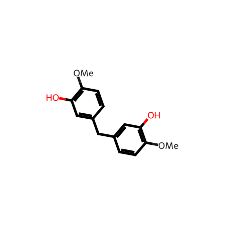 COc1ccc(Cc2ccc(OC)c(O)c2)cc1O